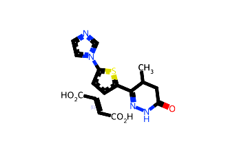 CC1CC(=O)NN=C1c1ccc(-n2ccnc2)s1.O=C(O)/C=C/C(=O)O